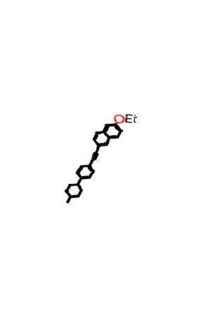 CCOc1ccc2cc(C#Cc3ccc(C4CCC(C)CC4)cc3)ccc2c1